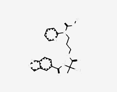 CC(C)(C)OC(=O)N(CCCOC(=O)C(C)(N)NC(=O)c1ccc2[nH]ncc2c1)c1ccccn1